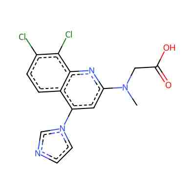 CN(CC(=O)O)c1cc(-n2ccnc2)c2ccc(Cl)c(Cl)c2n1